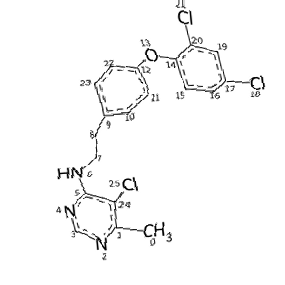 Cc1ncnc(NCCc2ccc(Oc3ccc(Cl)cc3Cl)cc2)c1Cl